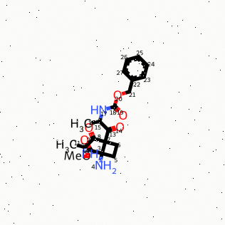 COC(=O)C1(N)CCC1(C(=O)C(C)N)C(=O)C(C)NC(=O)OCc1ccccc1